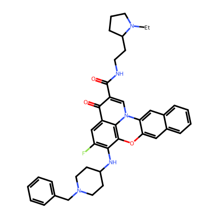 CCN1CCCC1CCNC(=O)c1cn2c3c(c(NC4CCN(Cc5ccccc5)CC4)c(F)cc3c1=O)Oc1cc3ccccc3cc1-2